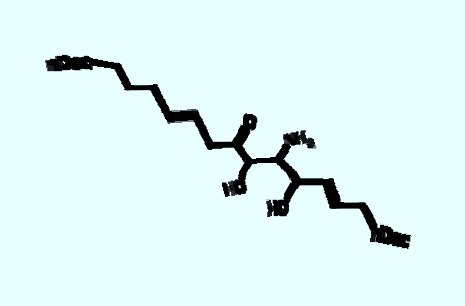 CCCCCCCCCCC/C=C/C(O)C(N)C(O)C(=O)CCCCCCCCCCCCCCCC